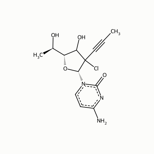 CC#CC1(Cl)C(O)[C@@H]([C@@H](C)O)O[C@H]1n1ccc(N)nc1=O